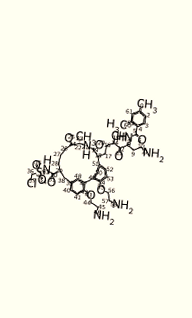 Cc1ccc(C(=O)N[C@@H](CCN)C(=O)C(C)CC[C@@H]2C(=O)N[C@@H](C)C(=O)CCC[C@H](C(=O)NS(=O)(=O)CCl)Cc3ccc(OCCN)c(c3)-c3cc2ccc3OCCN)c(C)c1